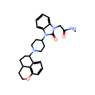 CNC(=O)Cn1c(=O)n(C2CCN(C3CCC4CCOc5cccc3c54)CC2)c2ccccc21